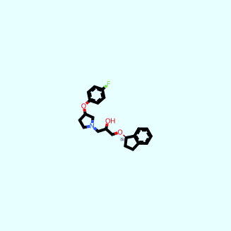 OC(CO[C@H]1CCc2ccccc21)CN1CCC(Oc2ccc(F)cc2)C1